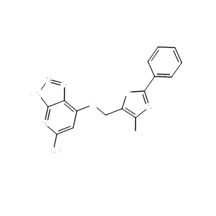 Cc1nc(-c2ccccc2)oc1COc1cc(N)nc2[nH]nnc12